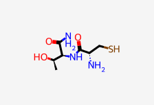 C[C@@H](O)[C@H](NC(=O)[C@@H](N)CS)C(N)=O